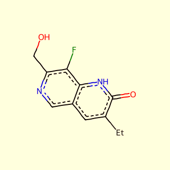 CCc1cc2cnc(CO)c(F)c2[nH]c1=O